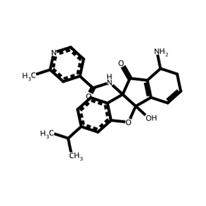 Cc1cc(C(=O)NC23C(=O)C4=C(C=CCC4N)C2(O)Oc2cc(C(C)C)ccc23)ccn1